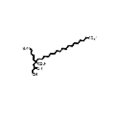 CCCCCCCCCCCCCCC(CCCCCCCCCCCCCCCCCC(=O)O)(CC(O)CO)C(=O)O